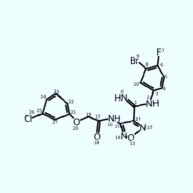 N=C(Nc1ccc(F)c(Br)c1)c1nonc1NC(=O)COc1cccc(Cl)c1